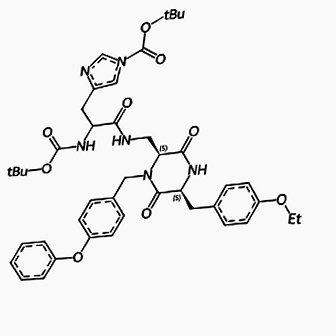 CCOc1ccc(C[C@@H]2NC(=O)[C@H](CNC(=O)C(Cc3cn(C(=O)OC(C)(C)C)cn3)NC(=O)OC(C)(C)C)N(Cc3ccc(Oc4ccccc4)cc3)C2=O)cc1